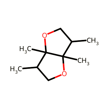 CC1COC2(C)C(C)COC12C